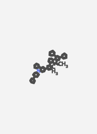 CCC(Cc1ccccc1-c1cc(-c2ccc3c(c2)c2ccccc2n3-c2ccc(-c3ccccc3)cc2)ccc1C)c1cc(-c2ccccc2)cc(-c2ccccc2)c1